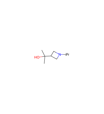 CC(C)N1CC(C(C)(C)O)C1